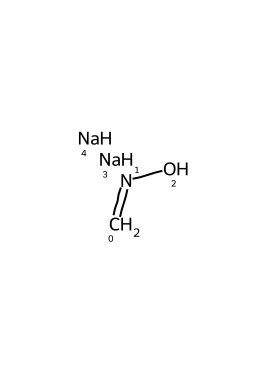 C=NO.[NaH].[NaH]